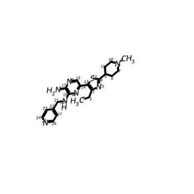 CCc1nc(C2CCN(C)CC2)sc1-c1cnc(N)c(NCc2ccncc2)n1